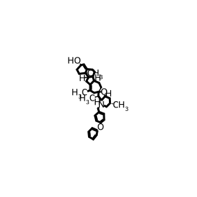 CC1=C2C[C@H]3C(CCC4=C[C@@H](O)CC[C@@]43C)[C@@H]2CC[C@@]2(C1)O[C@@H]1C[C@H](C)CN(Cc3ccc(Oc4ccccc4)cc3)[C@H]1[C@H]2C